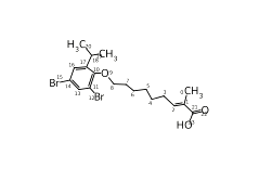 C/C(=C\CCCCCCOc1c(Br)cc(Br)cc1C(C)C)C(=O)O